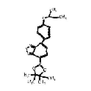 CCC(C)Oc1ccc(-c2ccc(B3OC(C)(C)C(C)(C)O3)c3nsnc23)cc1